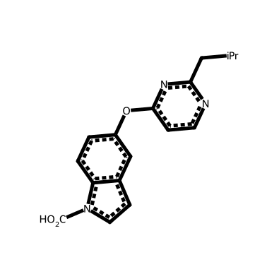 CC(C)Cc1nccc(Oc2ccc3c(ccn3C(=O)O)c2)n1